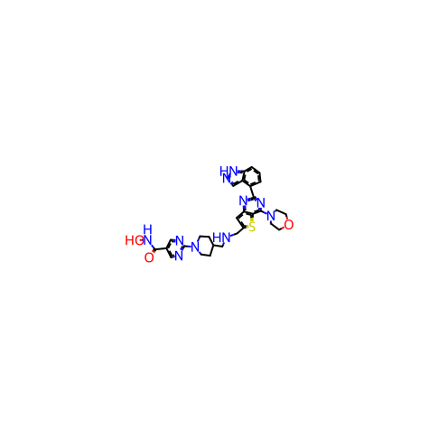 O=C(NO)c1cnc(N2CCC(CNCc3cc4nc(-c5cccc6[nH]ncc56)nc(N5CCOCC5)c4s3)CC2)nc1